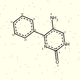 Nc1c[nH]c(=O)nc1-c1ccccc1